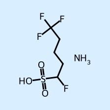 N.O=S(=O)(O)C(F)CCCC(F)(F)F